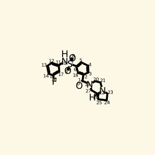 O=C(c1cccc(S(=O)(=O)Nc2cccc(F)c2)c1)N1CCN2CCC[C@@H]2C1